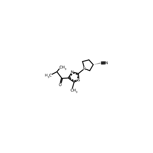 Cc1sc(N2CC[C@H](C#N)C2)nc1C(=O)C(C)C